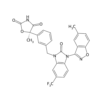 Cc1ccc2onc(-n3c(=O)n(Cc4cccc([C@@]5(C)OC(=O)NC5=O)c4)c4cc(C(F)(F)F)ccc43)c2c1